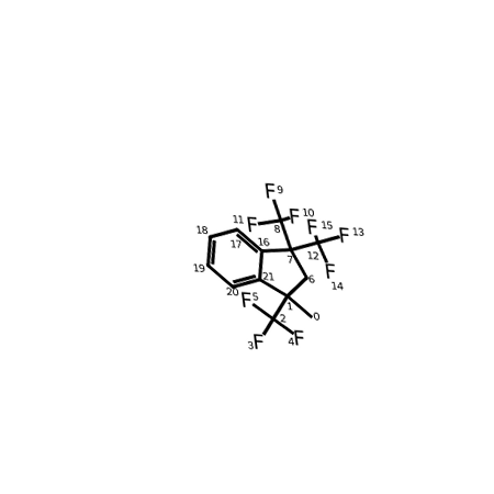 CC1(C(F)(F)F)CC(C(F)(F)F)(C(F)(F)F)c2ccccc21